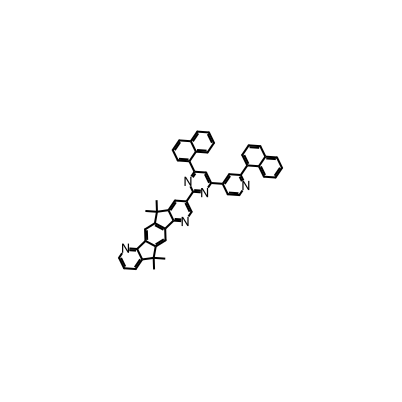 CC1(C)c2cc3c(cc2-c2ncccc21)C(C)(C)c1cc(-c2nc(-c4ccnc(-c5cccc6ccccc56)c4)cc(-c4cccc5ccccc45)n2)cnc1-3